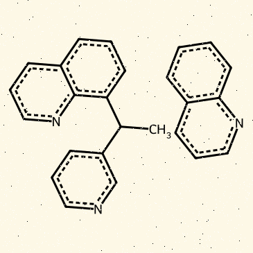 CC(c1cccnc1)c1cccc2cccnc12.c1ccc2ncccc2c1